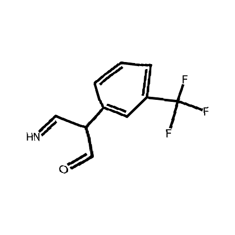 N=CC(C=O)c1cccc(C(F)(F)F)c1